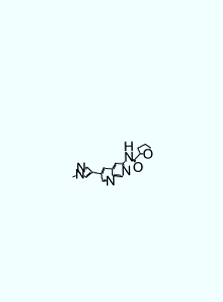 Cn1cc(-c2cnc3cnc(NC(=O)C4CCCO4)cc3c2)cn1